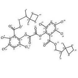 CC(COC(=O)c1c(Cl)c(Cl)cc(Cl)c1OC(=O)C(=O)Oc1c(Cl)cc(Cl)c(Cl)c1C(=O)OCC(C)C1(C)CCC1)C1(C)CCC1